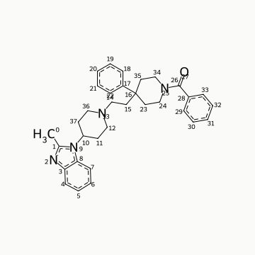 Cc1nc2ccccc2n1C1CCN(CCC2(c3ccccc3)CCN(C(=O)c3ccccc3)CC2)CC1